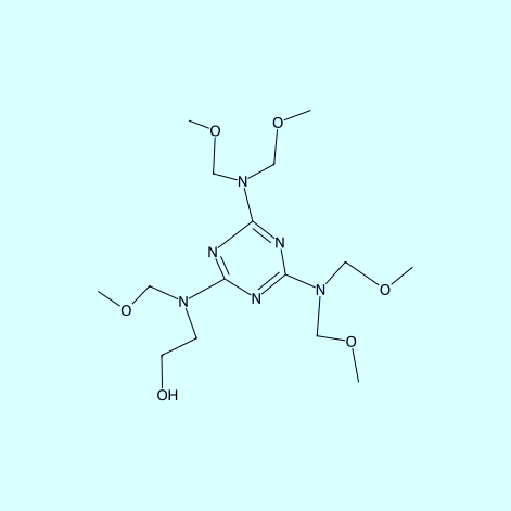 COCN(CCO)c1nc(N(COC)COC)nc(N(COC)COC)n1